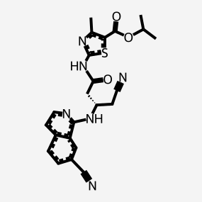 Cc1nc(NC(=O)C[C@H](CC#N)Nc2nccc3ccc(C#N)cc23)sc1C(=O)OC(C)C